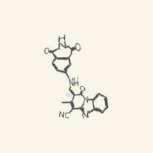 Cc1c(C#N)c2nc3ccccc3n2c(=O)/c1=C\Nc1ccc2c(c1)C(=O)NC2=O